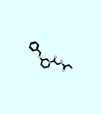 CCC(=O)NCC(Cl)N1CCCC(OCc2ccccc2)C1